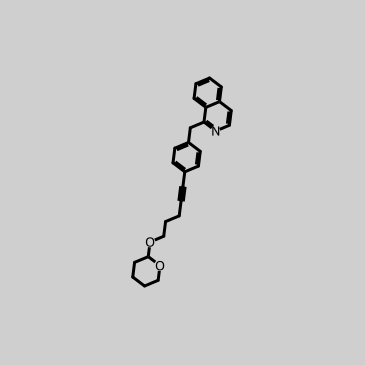 C(#Cc1ccc(Cc2nccc3ccccc23)cc1)CCCOC1CCCCO1